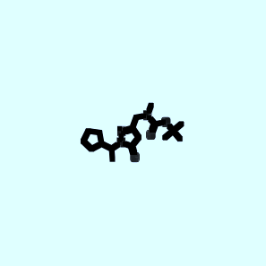 CC(C1CCCC1)N1N=C(CN(C)C(=O)OC(C)(C)C)CC1=O